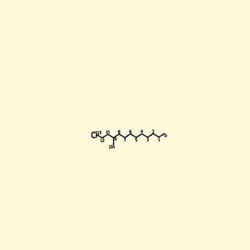 CCCCCCCCCC(I)CCCl